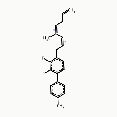 C=CC/C=C(C)\C=C/Cc1ccc(-c2ccc(C)cc2)c(F)c1F